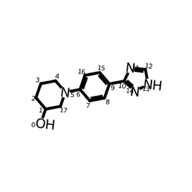 OC1CCCN(c2ccc(-c3nc[nH]n3)cc2)C1